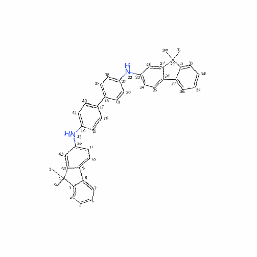 CC1(C)c2ccccc2-c2ccc(Nc3ccc(-c4ccc(Nc5ccc6c(c5)C(C)(C)c5ccccc5-6)cc4)cc3)cc21